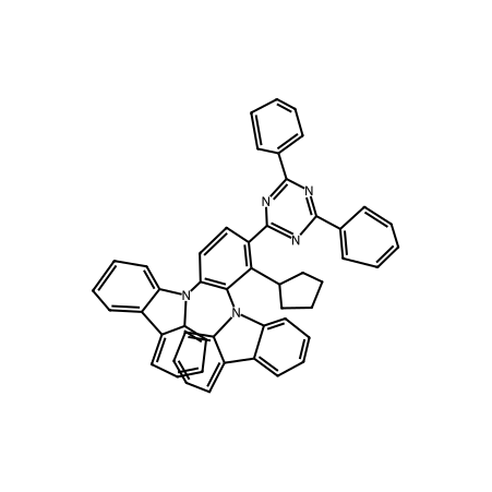 c1ccc(-c2nc(-c3ccccc3)nc(-c3ccc(-n4c5ccccc5c5ccccc54)c(-n4c5ccccc5c5ccccc54)c3C3CCCC3)n2)cc1